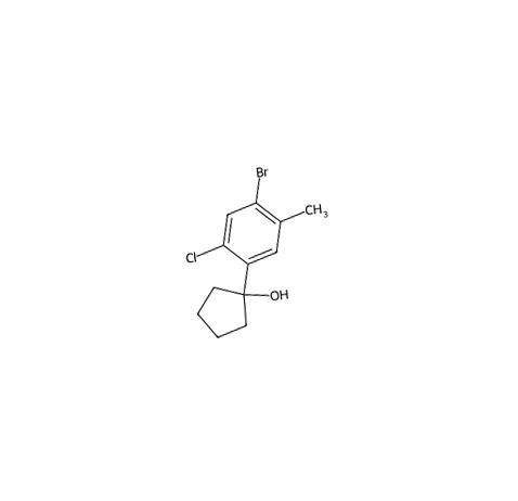 Cc1cc(C2(O)CCCC2)c(Cl)cc1Br